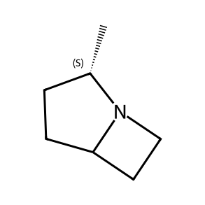 C[C@H]1CCC2CCN21